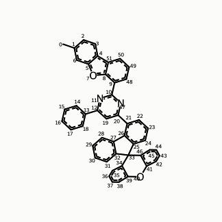 Cc1ccc2c(c1)oc1c(-c3nc(-c4ccccc4)cc(-c4cccc5c4-c4ccccc4C54c5ccccc5Oc5ccccc54)n3)cccc12